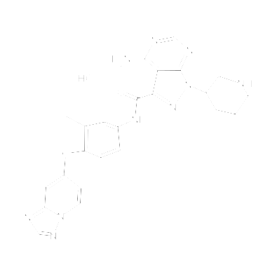 Cc1cc(NC(=O)c2nn(C3CCCNC3)c3ncnc(N)c23)ccc1Oc1ccn2ncnc2c1.Cl